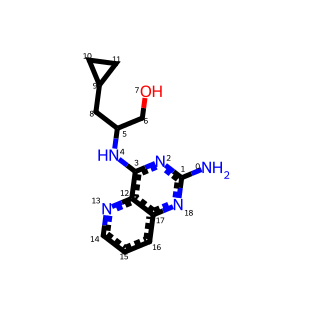 Nc1nc(NC(CO)CC2CC2)c2ncccc2n1